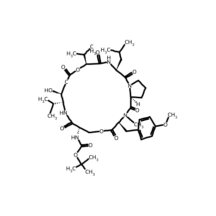 COc1ccc(C[C@H]2C(=O)OC[C@H](NC(=O)OC(C)(C)C)C(=O)N[C@H](C(C)C)[C@@H](O)CC(=O)O[C@@H](C(C)C)C(=O)N[C@@H](CC(C)C)C(=O)N3CCC[C@H]3C(=O)N2C)cc1